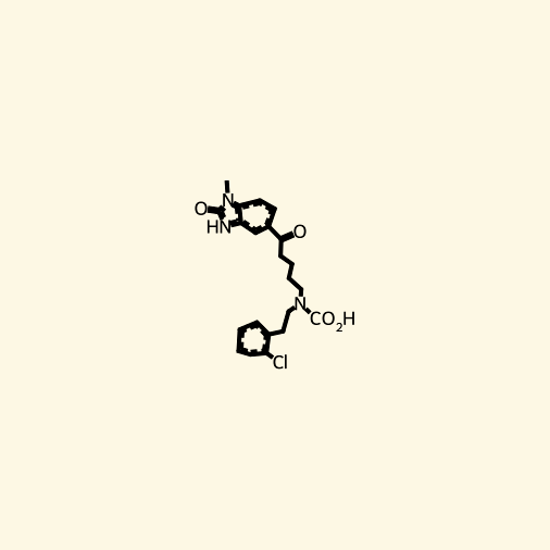 Cn1c(=O)[nH]c2cc(C(=O)CCCCN(CCc3ccccc3Cl)C(=O)O)ccc21